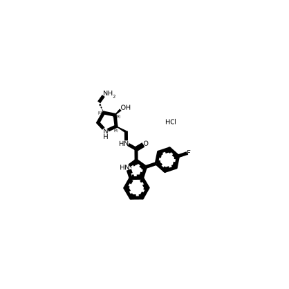 Cl.NC[C@H]1CN[C@H](CNC(=O)c2[nH]c3ccccc3c2-c2ccc(F)cc2)[C@@H]1O